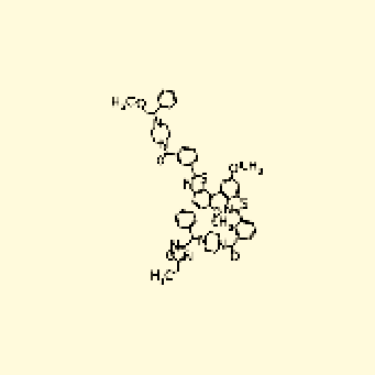 CCc1nc(C(c2ccccc2)N2CCN(C(=O)c3cccc(-c4nc5c(-c6c(OC)ccc7nc(-c8cccc(C(=O)N9CCN(C(COC)c%10ccccc%10)CC9)c8)sc67)cc(OC)cc5s4)c3)CC2)no1